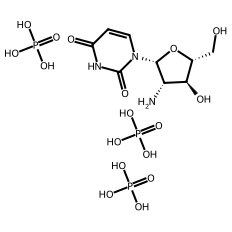 N[C@H]1[C@H](O)[C@@H](CO)O[C@H]1n1ccc(=O)[nH]c1=O.O=P(O)(O)O.O=P(O)(O)O.O=P(O)(O)O